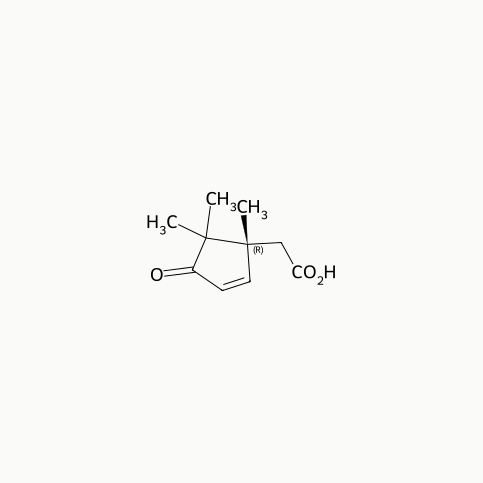 CC1(C)C(=O)C=C[C@@]1(C)CC(=O)O